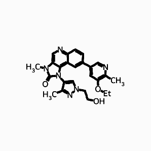 CCOc1cc(-c2ccc3ncc4c(c3c2)n(-c2cn(CCO)nc2C)c(=O)n4C)cnc1C